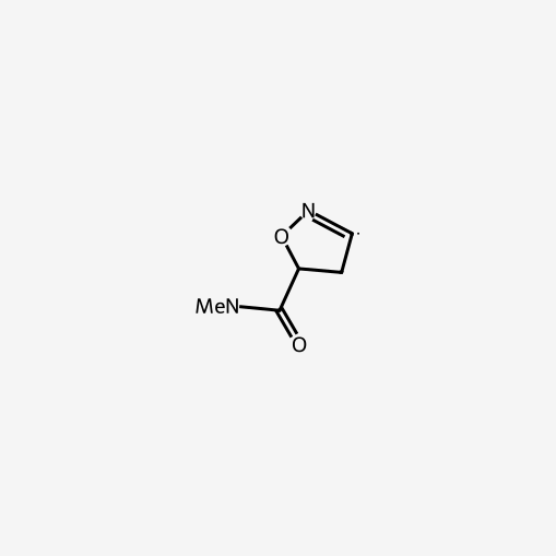 CNC(=O)C1C[C]=NO1